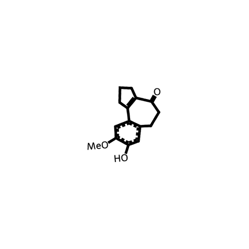 COc1cc2c(cc1O)CCC(=O)C1=C2CCC1